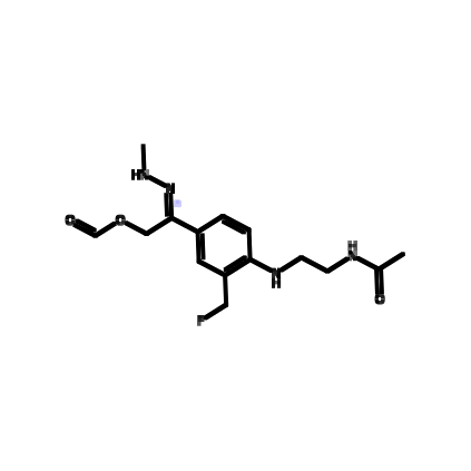 CN/N=C(\COC=O)c1ccc(NCCNC(C)=O)c(CF)c1